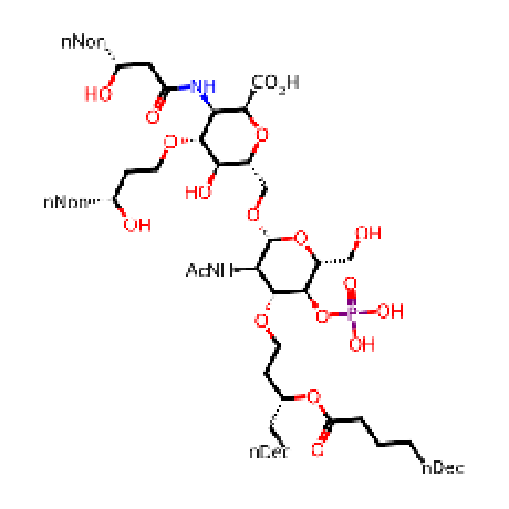 CCCCCCCCCCCCCC(=O)O[C@H](CCCCCCCCCCC)CCO[C@@H]1[C@@H](NC(C)=O)[C@H](OC[C@H]2O[C@H](C(=O)O)[C@H](NC(=O)C[C@H](O)CCCCCCCCC)[C@@H](OCC[C@H](O)CCCCCCCCC)[C@@H]2O)O[C@H](CO)[C@H]1OP(=O)(O)O